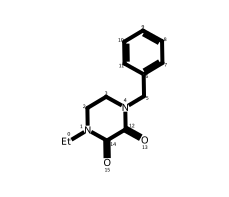 CCN1CCN(Cc2ccccc2)C(=O)C1=O